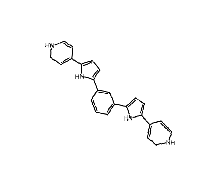 C1=CC(c2ccc(-c3cccc(-c4ccc(C5=CCNC=C5)[nH]4)c3)[nH]2)=CCN1